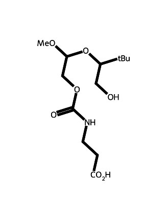 COC(COC(=O)NCCC(=O)O)OC(CO)C(C)(C)C